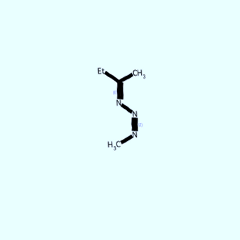 CC/C(C)=N/N=N\C